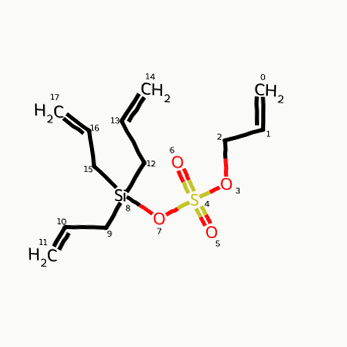 C=CCOS(=O)(=O)O[Si](CC=C)(CC=C)CC=C